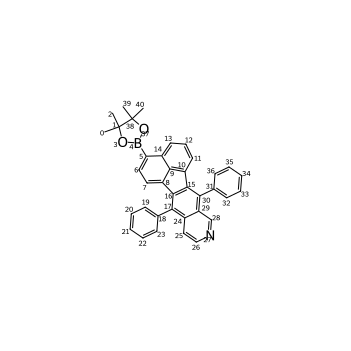 CC1(C)OB(c2ccc3c4c(cccc24)-c2c-3c(-c3ccccc3)c3ccncc3c2-c2ccccc2)OC1(C)C